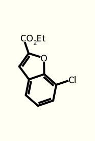 CCOC(=O)c1cc2cccc(Cl)c2o1